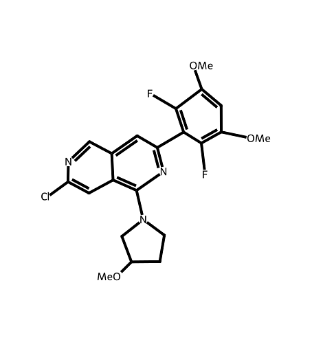 COc1cc(OC)c(F)c(-c2cc3cnc(Cl)cc3c(N3CCC(OC)C3)n2)c1F